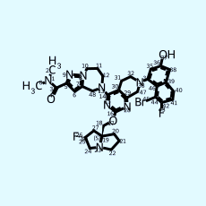 CN(C)C(=O)c1cc2n(n1)CCCN(c1nc(OC[C@@]34CCCN3C[C@H](F)C4)nc3c1CCN(c1cc(O)cc4ccc(F)c(Br)c14)C3)C2